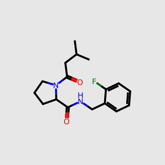 CC(C)CC(=O)N1CCCC1C(=O)NCc1ccccc1F